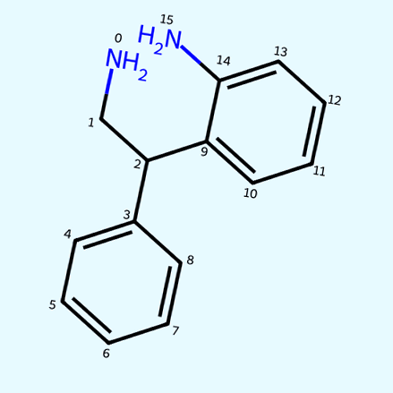 NCC(c1ccccc1)c1ccccc1N